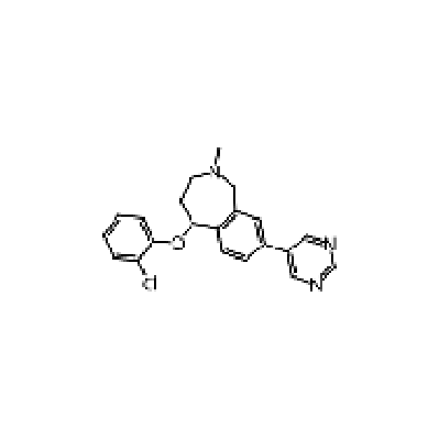 CN1CCC(Oc2ccccc2Cl)c2ccc(-c3cncnc3)cc2C1